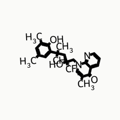 Cc1cc(C)c(O)c(C(C)(C)CC(O)(Cn2cc(C)c(=O)c3cccnc32)C(F)(F)F)c1